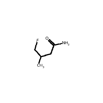 CC(CF)CC(N)=O